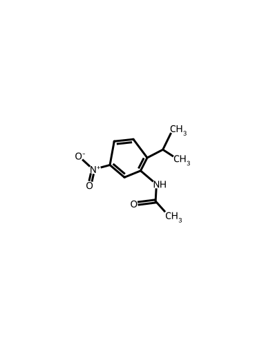 CC(=O)Nc1cc([N+](=O)[O-])ccc1C(C)C